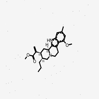 C=C(C(=O)OC)[C@H]1C[C@H]2c3[nH]c4cc(C)cc(OC)c4c3CCN2C[C@H]1CCC